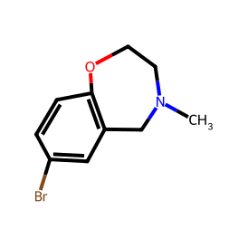 CN1CCOc2ccc(Br)cc2C1